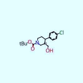 CC(C)(C)OC(=O)N1CCC(c2ccc(Cl)cc2)[C@@H](CO)C1